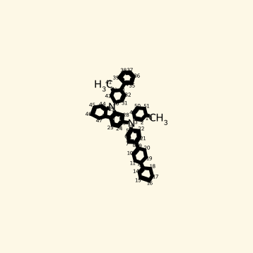 CC1C=C(N(c2ccc(C3=CCC(C4=CC=CCC4)CC3)cc2)c2ccc3c(c2)N(C2C=CC(c4ccccc4)C(C)C2)C2=CC=CCC23)C=CC1